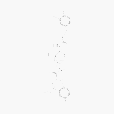 O=C(COc1ccc(Cl)c(F)c1)N[C@@H]1C[C@@H]2O[C@H]1C[C@H]2NC(=O)[C@@H]1C[C@@H](O)c2cc(Cl)ccc2O1